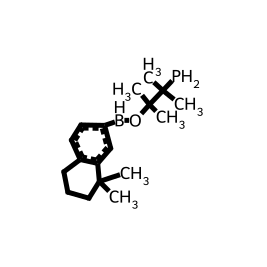 CC1(C)CCCc2ccc(BOC(C)(C)C(C)(C)P)cc21